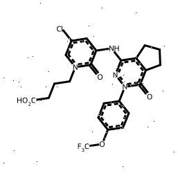 O=C(O)CCCn1cc(Cl)cc(Nc2nn(-c3ccc(OC(F)(F)F)cc3)c(=O)c3c2CCC3)c1=O